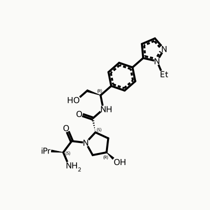 CCn1nccc1-c1ccc([C@H](CO)NC(=O)[C@@H]2C[C@@H](O)CN2C(=O)[C@@H](N)C(C)C)cc1